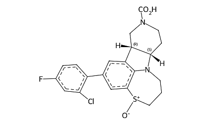 O=C(O)N1CC[C@H]2[C@@H](C1)c1cc(-c3ccc(F)cc3Cl)cc3c1N2CCC[S+]3[O-]